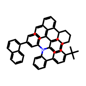 CC(C)(C)c1ccc(-c2ccccc2N(c2cccc(-c3cccc4ccccc34)c2)c2ccccc2-c2cccc3cccc(C4CCCCC4)c23)cc1